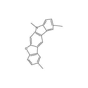 Cc1ccc2oc3cc4c(cc3c2c1)c1cc(C)ccc1n4C